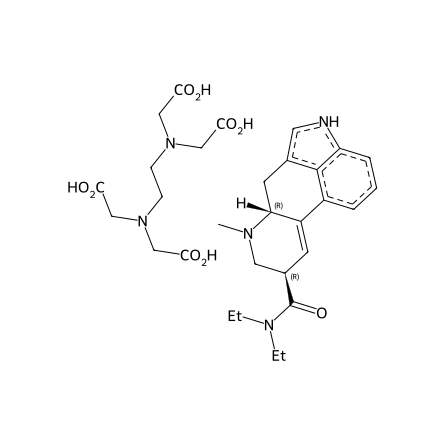 CCN(CC)C(=O)[C@@H]1C=C2c3cccc4[nH]cc(c34)C[C@H]2N(C)C1.O=C(O)CN(CCN(CC(=O)O)CC(=O)O)CC(=O)O